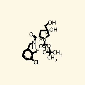 CC(C)(C)OC(=O)N1C[C@](O)(CO)C[C@H]1C(=O)NCc1cccc(Cl)c1F